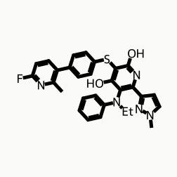 CCN(c1ccccc1)c1c(-c2ccn(C)n2)nc(O)c(Sc2ccc(-c3ccc(F)nc3C)cc2)c1O